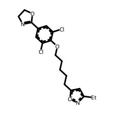 CCc1cc(CCCCCOc2c(Cl)cc(C3=NCCO3)cc2Cl)on1